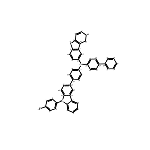 Fc1ccc(-n2c3ccccc3c3cc(-c4ccc(N(c5ccc(-c6ccccc6)cc5)c5ccc6sc7c(c6c5)CCC=C7)cc4)ccc32)cc1